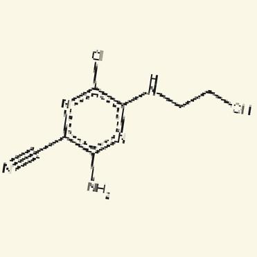 N#Cc1nc(Cl)c(NCCO)nc1N